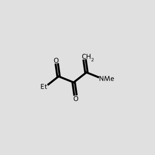 C=C(NC)C(=O)C(=O)CC